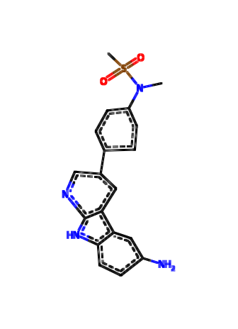 CN(c1ccc(-c2cnc3[nH]c4ccc(N)cc4c3c2)cc1)S(C)(=O)=O